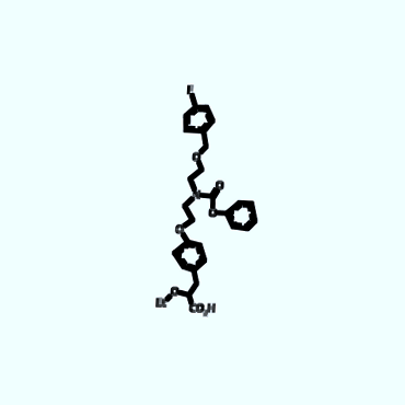 CCOC(Cc1ccc(OCCN(CCOCc2ccc(F)cc2)C(=O)Oc2ccccc2)cc1)C(=O)O